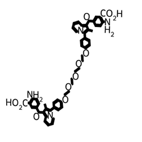 Cc1c(C(=O)c2ccc(N)c(C(=O)O)c2)c2ccccn2c1-c1ccc(OCCOCCOCCOCCOc2ccc(-c3c(C)c(C(=O)c4ccc(N)c(C(=O)O)c4)c4ccccn34)cc2)cc1